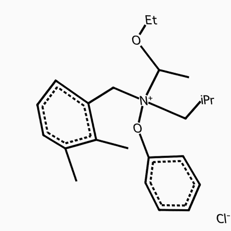 CCOC(C)[N+](Cc1cccc(C)c1C)(CC(C)C)Oc1ccccc1.[Cl-]